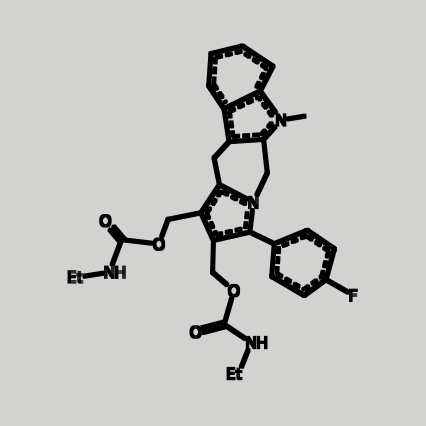 CCNC(=O)OCc1c(COC(=O)NCC)c(-c2ccc(F)cc2)n2c1Cc1c(n(C)c3ccccc13)C2